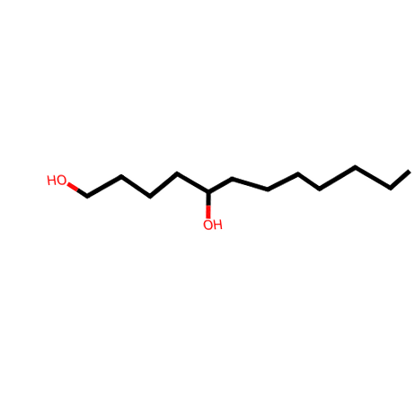 CCCCCCCC(O)CCCCO